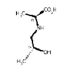 C[C@H](NC[C@@H](C)O)C(=O)O